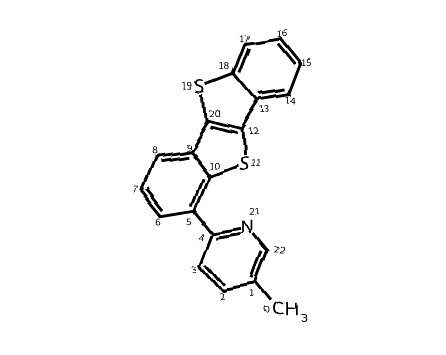 Cc1ccc(-c2cccc3c2sc2c4ccccc4sc32)nc1